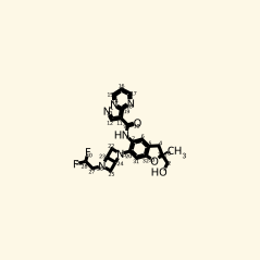 C[C@]1(CO)Cc2cc(NC(=O)c3cnn4cccnc34)c(N3CC4C3CN4CC(F)F)cc2O1